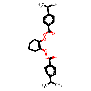 CC(C)c1ccc(C(=O)OOC2=C(OOC(=O)c3ccc(C(C)C)cc3)CCCC2)cc1